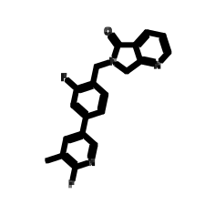 Cc1cc(-c2ccc(CN3Cc4ncccc4C3=O)c(F)c2)cnc1F